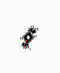 Nc1ncnc2c1ncn2[C@H]1C[C@@H]2OP(=O)(S)OC[C@H]3O[C@@H](n4cnc5c(=O)[nH]c6nccn6c54)C[C@@H]3OP(=O)(S)OC[C@H]2O1